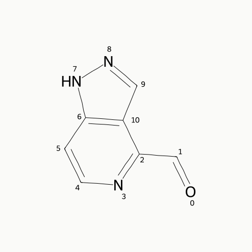 O=Cc1nccc2[nH]ncc12